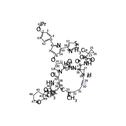 CC(C)Oc1ccc(-c2cc(O[C@@H]3C[C@H]4C(=O)N[C@]5(C(=O)NS(=O)(=O)C6(C)CC6)C[C@H]5/C=C\CC[C@@H](C)C[C@@H](C)[C@H](NC(=O)OC5(C(F)(F)F)CCCOC5)C(=O)N4C3)cc(-c3cscn3)n2)cc1